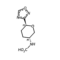 O=C(O)N[C@@H]1CC[C@@H](c2ncon2)OC1